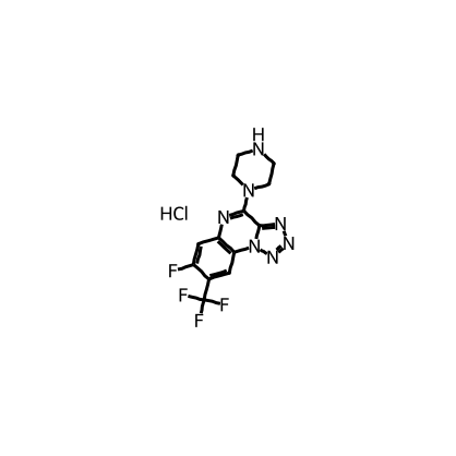 Cl.Fc1cc2nc(N3CCNCC3)c3nnnn3c2cc1C(F)(F)F